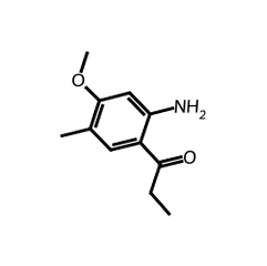 CCC(=O)c1cc(C)c(OC)cc1N